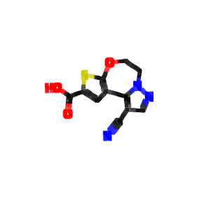 N#Cc1cnn2c1-c1cc(C(=O)O)sc1OCC2